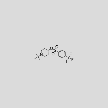 CC(C)(C)N1CCC(OS(=O)(=O)c2ccc(C(F)(F)F)cc2)CC1